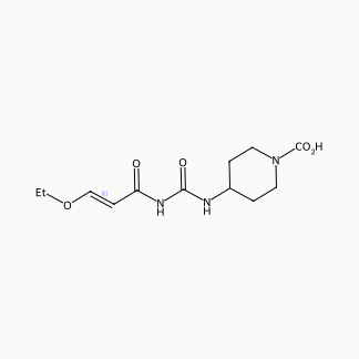 CCO/C=C/C(=O)NC(=O)NC1CCN(C(=O)O)CC1